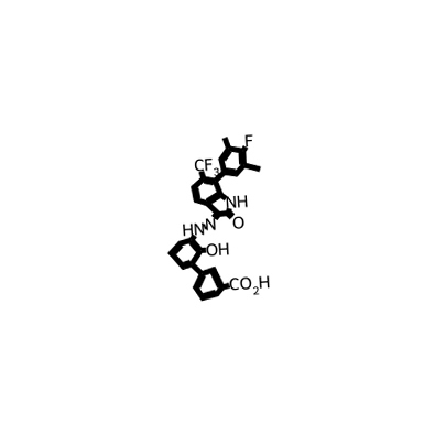 Cc1cc(-c2c(C(F)(F)F)ccc3c2NC(=O)C3=NNc2cccc(-c3cccc(C(=O)O)c3)c2O)cc(C)c1F